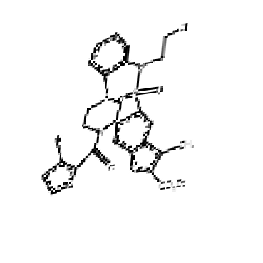 CCOC(=O)c1sc2ccc(S(=O)(=O)N(CCCl)c3ccccc3N3CCN(C(=O)c4sccc4Br)CC3)cc2c1C